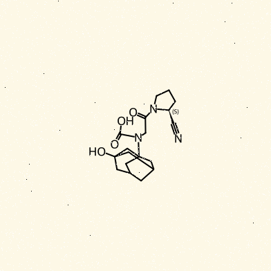 N#C[C@@H]1CCCN1C(=O)CN(C(=O)O)C12CC3CC(CC(O)(C3)C1)C2